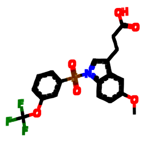 COc1ccc2c(c1)c(CCC(=O)O)cn2S(=O)(=O)c1cccc(OC(F)(F)F)c1